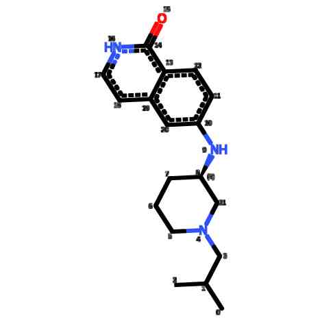 CC(C)CN1CCC[C@@H](Nc2ccc3c(=O)[nH]ccc3c2)C1